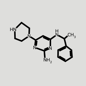 CC(Nc1cc(N2CCNCC2)nc(N)n1)c1ccccc1